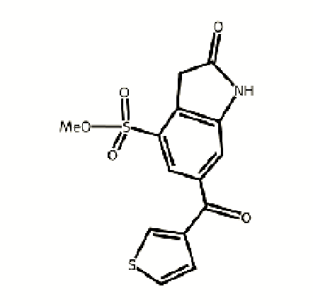 COS(=O)(=O)c1cc(C(=O)c2ccsc2)cc2c1CC(=O)N2